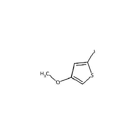 COc1csc(I)c1